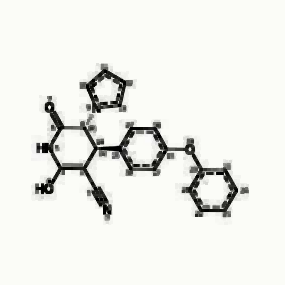 N#CC1=C(O)NC(=O)[C@H](n2cccc2)[C@H]1c1ccc(Oc2ccccc2)cc1